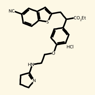 CCOC(=O)C(Cc1cc2cc(C#N)ccc2s1)c1ccc(OCCNC2=NCCC2)cc1.Cl